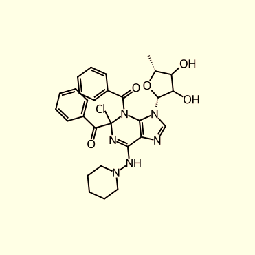 C[C@H]1O[C@@H](n2cnc3c2N(C(=O)c2ccccc2)C(Cl)(C(=O)c2ccccc2)N=C3NN2CCCCC2)C(O)C1O